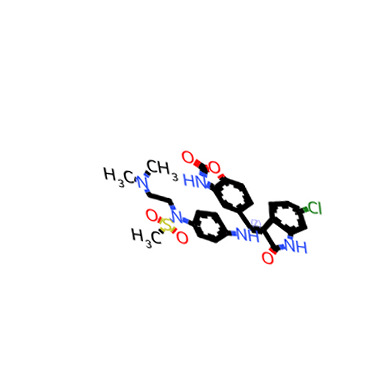 CN(C)CCN(c1ccc(N/C(=C2\C(=O)Nc3cc(Cl)ccc32)c2ccc3oc(=O)[nH]c3c2)cc1)S(C)(=O)=O